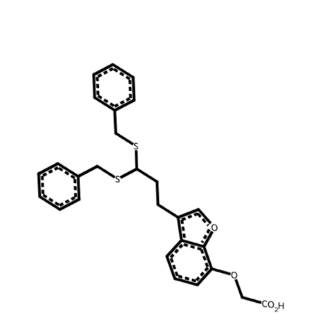 O=C(O)COc1cccc2c(CCC(SCc3ccccc3)SCc3ccccc3)coc12